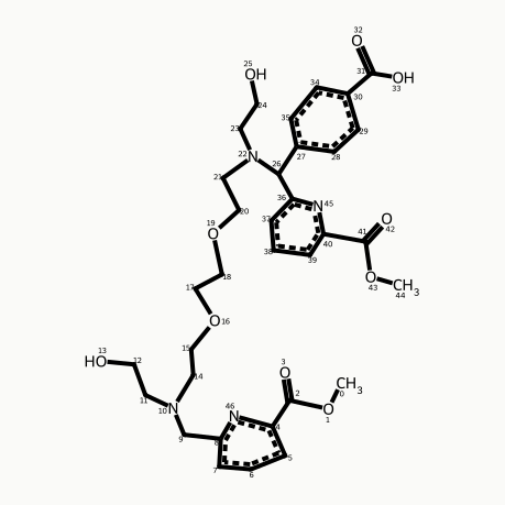 COC(=O)c1cccc(CN(CCO)CCOCCOCCN(CCO)C(c2ccc(C(=O)O)cc2)c2cccc(C(=O)OC)n2)n1